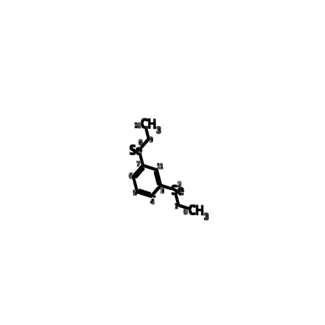 CC[Se]c1[c]ccc([Se]CC)c1